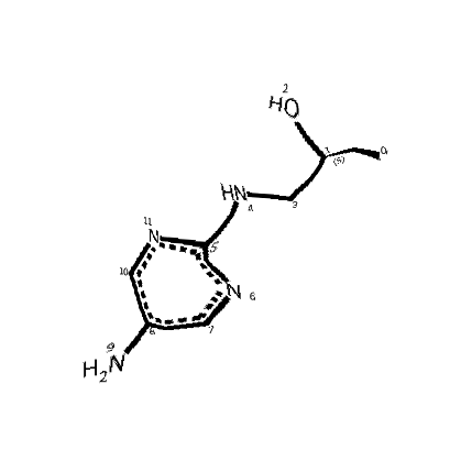 C[C@H](O)CNc1ncc(N)cn1